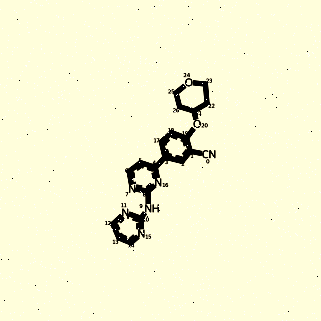 N#Cc1cc(-c2ccnc(Nc3ncccn3)n2)ccc1OC1CCOCC1